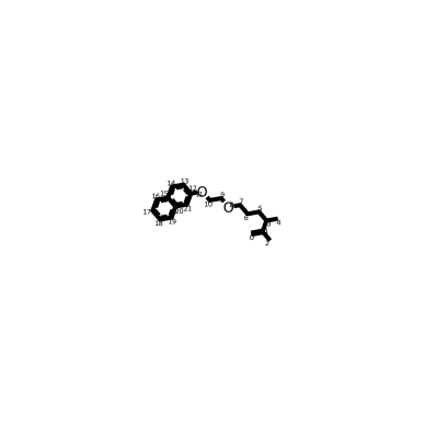 C=C(C)C(C)CCCOCCOc1ccc2ccccc2c1